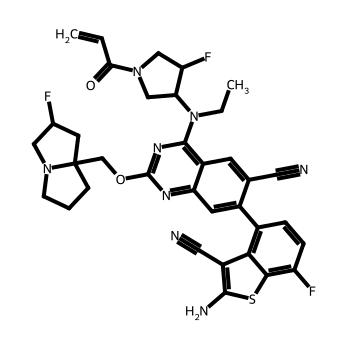 C=CC(=O)N1CC(F)C(N(CC)c2nc(OCC34CCCN3CC(F)C4)nc3cc(-c4ccc(F)c5sc(N)c(C#N)c45)c(C#N)cc23)C1